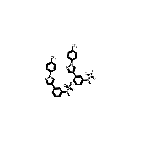 CCS(=O)(=O)N(C)c1cccc(-c2cnn(-c3ccc(C(F)(F)F)cc3)c2)c1.CCS(=O)(=O)N(C)c1cccc(-c2cnn(-c3ccc(C(F)(F)F)cc3)c2)c1